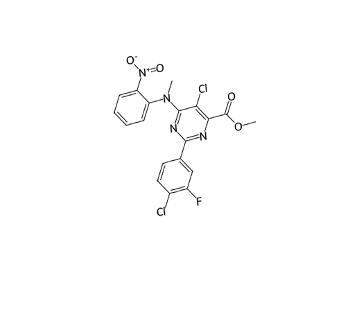 COC(=O)c1nc(-c2ccc(Cl)c(F)c2)nc(N(C)c2ccccc2[N+](=O)[O-])c1Cl